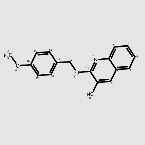 N#Cc1cc2ccccc2nc1OCc1ccc(OC(F)(F)F)cc1